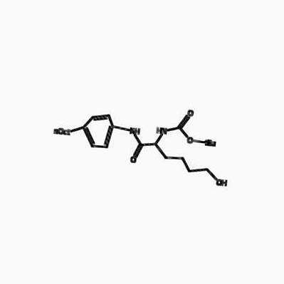 CCCCCCCCc1ccc(NC(=O)C(CCCCO)NC(=O)OC(C)(C)C)cc1